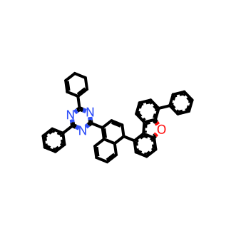 C1=CC2=C(c3nc(C4=CCCC=C4)nc(-c4ccccc4)n3)C=CC(c3cccc4oc5c(-c6ccccc6)cccc5c34)C2C=C1